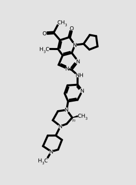 CC(=O)c1c(C)c2cnc(Nc3ccc(N4CCN(C5CCN(C)CC5)C[C@@H]4C)cn3)nc2n(C2CCCC2)c1=O